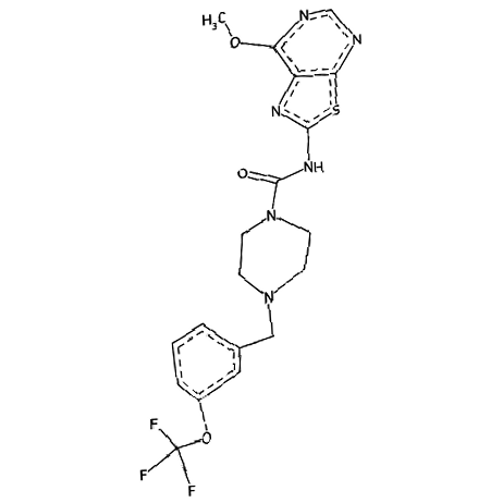 COc1ncnc2sc(NC(=O)N3CCN(Cc4cccc(OC(F)(F)F)c4)CC3)nc12